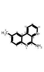 Cc1ccc2nc(N)c3ncccc3c2c1